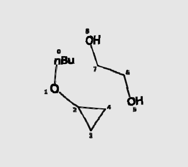 CCCCOC1CC1.OCCO